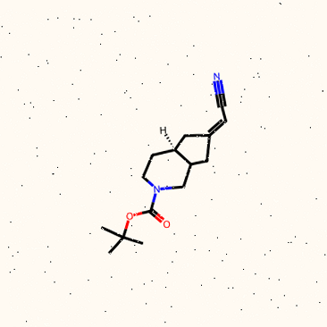 CC(C)(C)OC(=O)N1CC[C@H]2C/C(=C\C#N)CC2C1